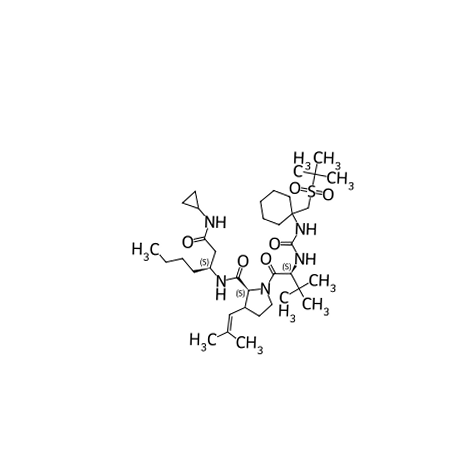 CCCC[C@@H](CC(=O)NC1CC1)NC(=O)[C@@H]1C(C=C(C)C)CCN1C(=O)[C@@H](NC(=O)NC1(CS(=O)(=O)C(C)(C)C)CCCCC1)C(C)(C)C